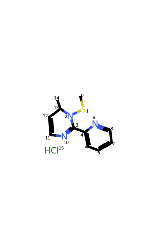 CSN1C(c2ccccn2)=NC=CC1C.Cl